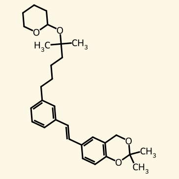 CC(C)(CCCCc1cccc(C=Cc2ccc3c(c2)COC(C)(C)O3)c1)OC1CCCCO1